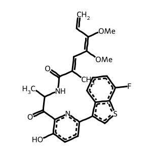 C=C/C(OC)=C(\C=C(/C)C(=O)NC(C)C(=O)c1nc(-c2csc3c(F)cccc23)ccc1O)OC